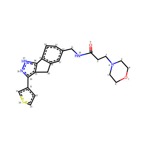 O=C(CCN1CCOCC1)NCc1ccc2c(c1)Cc1c(-c3ccsc3)n[nH]c1-2